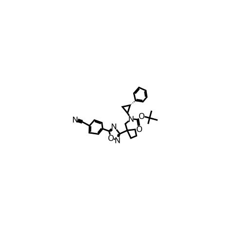 CC(C)(C)OC(=O)N(CC1(c2noc(-c3ccc(C#N)cc3)n2)CCC1)C1C[C@@H]1c1ccccc1